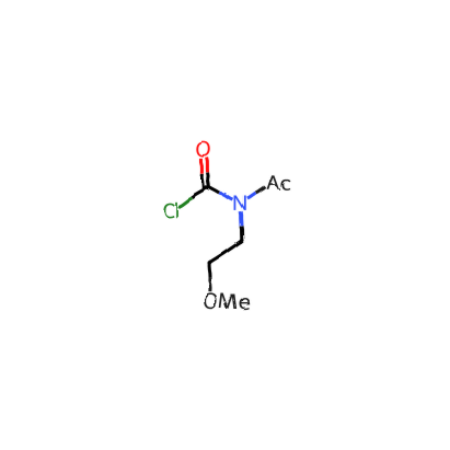 COCCN(C(C)=O)C(=O)Cl